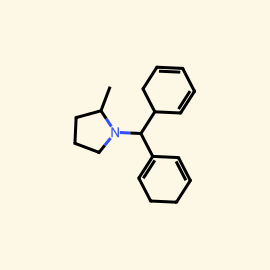 CC1CCCN1C(C1=CCCC=C1)C1C=CC=CC1